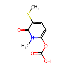 CSc1ccc(OC(=O)O)n(C)c1=O